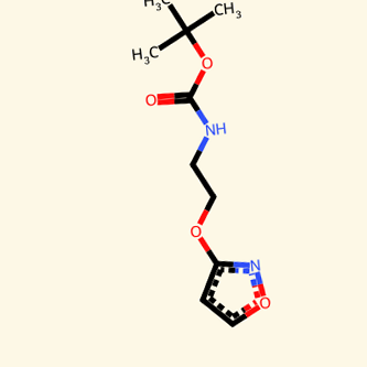 CC(C)(C)OC(=O)NCCOc1ccon1